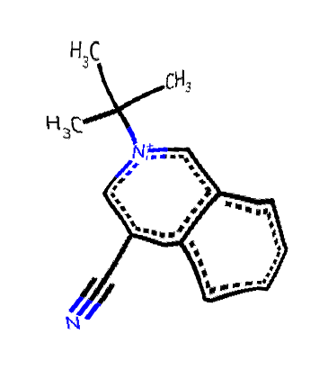 CC(C)(C)[n+]1cc(C#N)c2ccccc2c1